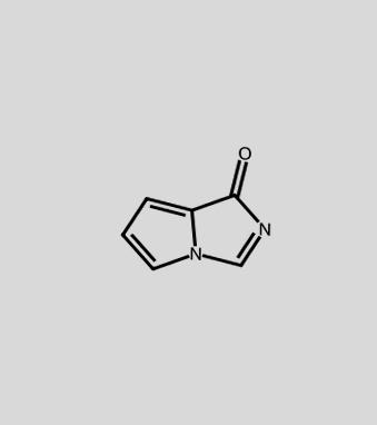 O=C1N=Cn2cccc21